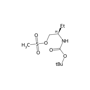 CC[C@H](COS(C)(=O)=O)NC(=O)OC(C)(C)C